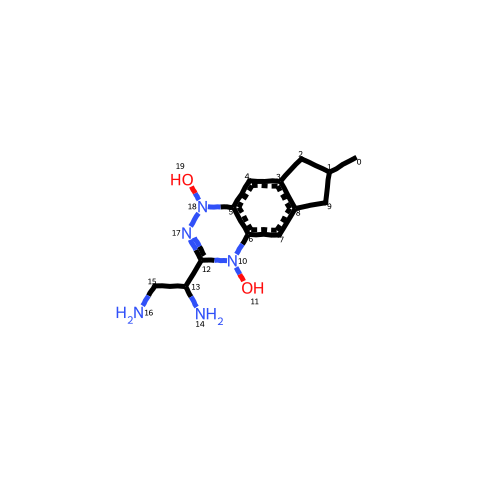 CC1Cc2cc3c(cc2C1)N(O)C(C(N)CN)=NN3O